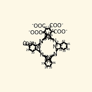 O=C([O-])c1c(C(=O)[O-])c(C(=O)[O-])c2c3nc4nc(nc5[nH]c(nc6nc(nc([nH]3)c2c1C(=O)[O-])-c1ccccc1-6)c1ccccc51)-c1ccccc1-4.[Cu+2].[Cu+2]